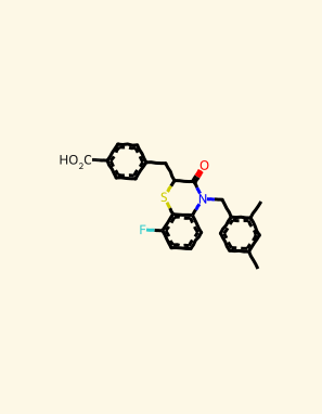 Cc1ccc(CN2C(=O)C(Cc3ccc(C(=O)O)cc3)Sc3c(F)cccc32)c(C)c1